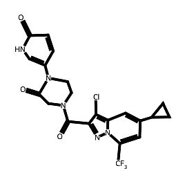 O=C(c1nn2c(C(F)(F)F)cc(C3CC3)cc2c1Cl)N1CCN(c2ccc(=O)[nH]c2)C(=O)C1